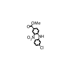 COC(=O)c1ccc(Nc2cccc(Cl)c2)c([N+](=O)[O-])c1